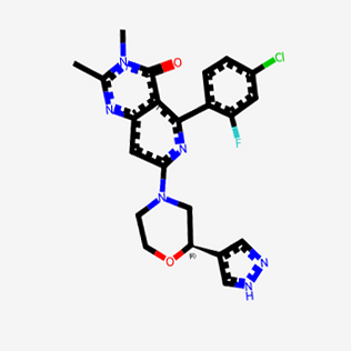 Cc1nc2cc(N3CCO[C@H](c4cn[nH]c4)C3)nc(-c3ccc(Cl)cc3F)c2c(=O)n1C